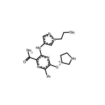 CC(C)c1nc(C(N)=O)c(Nc2cnn(CCO)c2)nc1O[C@@H]1CCNC1